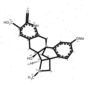 COc1ccc2c(c1)[C@@]13Cc4[nH]c(=O)c(C(=O)O)cc4C[C@@]1(O)[C@@H]1N(C)CC21C3